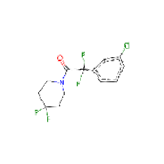 O=C(N1CCC(F)(F)CC1)C(F)(F)c1cccc(Cl)c1